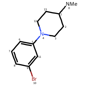 CNC1CCN(c2cccc(Br)c2)CC1